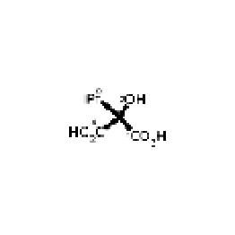 CC(C)C(O)(C(=O)O)C(=O)O